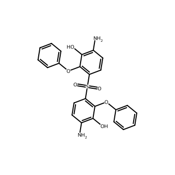 Nc1ccc(S(=O)(=O)c2ccc(N)c(O)c2Oc2ccccc2)c(Oc2ccccc2)c1O